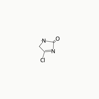 O=C1[N]CC(Cl)=N1